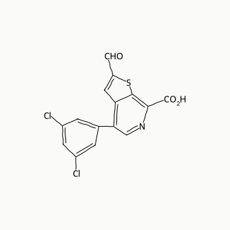 O=Cc1cc2c(-c3cc(Cl)cc(Cl)c3)cnc(C(=O)O)c2s1